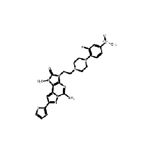 Cn1c(=O)n(CCN2CCN(c3ccc([S@@+](C)[O-])cc3F)CC2)c2nc(N)n3nc(-c4ccco4)cc3c21